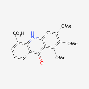 COc1cc2[nH]c3c(C(=O)O)cccc3c(=O)c2c(OC)c1OC